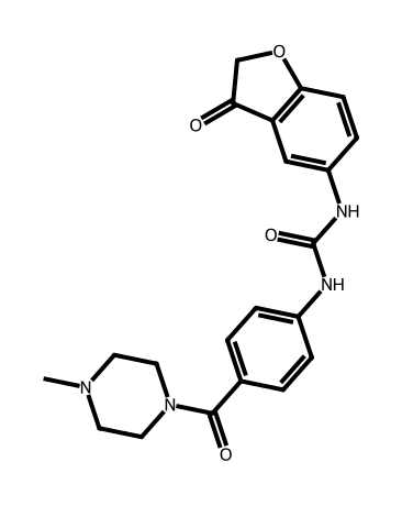 CN1CCN(C(=O)c2ccc(NC(=O)Nc3ccc4c(c3)C(=O)CO4)cc2)CC1